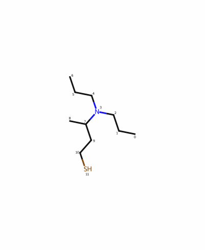 CCCN(CCC)C(C)CCS